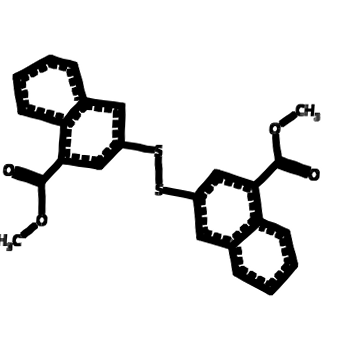 COC(=O)c1cc(SSc2cc(C(=O)OC)c3ccccc3c2)cc2ccccc12